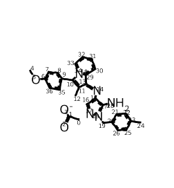 CC(=O)[O-].COc1ccc(C2=C(C)/C(=N\c3cnn(Cc4ccc(C)cc4)c3N)c3cccc[n+]32)cc1